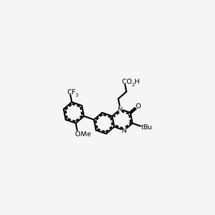 COc1ccc(C(F)(F)F)cc1-c1ccc2nc(C(C)(C)C)c(=O)n(CCC(=O)O)c2c1